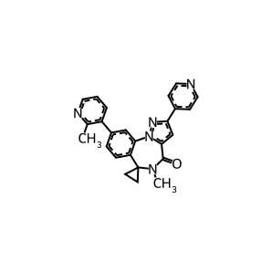 Cc1ncccc1-c1ccc2c(c1)-n1nc(-c3ccncc3)cc1C(=O)N(C)C21CC1